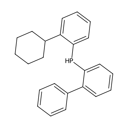 c1ccc(-c2ccccc2Pc2ccccc2C2CCCCC2)cc1